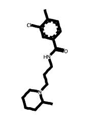 Cc1ccc(C(=O)NCCCN2CCCCC2C)cc1Cl